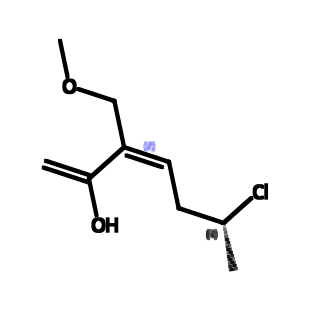 C=C(O)/C(=C\C[C@@H](C)Cl)COC